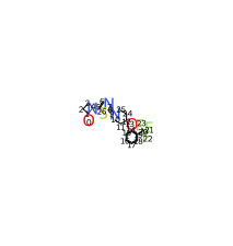 O=C1CCN1c1cnc(N2CCC(Oc3ccccc3C(F)(F)F)CC2)s1